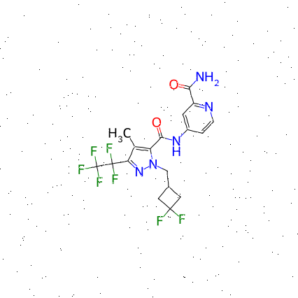 Cc1c(C(F)(F)C(F)(F)F)nn(CC2CC(F)(F)C2)c1C(=O)Nc1ccnc(C(N)=O)c1